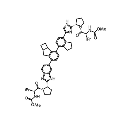 COC(=O)N[C@H](C(=O)N1CCC[C@H]1c1nc(-c2ccc(-c3ccc(-c4ccc5nc([C@@H]6CCCN6C(=O)[C@@H](NC(=O)OC)C(C)C)[nH]c5c4)c4c3C3CCC3C4)c3c2CCC3)c[nH]1)C(C)C